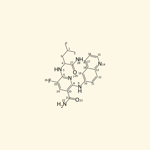 CC(C)CC(Nc1nc(Nc2ccc3ncccc3c2)c(C(N)=O)cc1F)C(N)=O